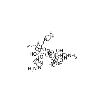 C=CCCC(=O)N(C)[C@@H](CCN1CCC(F)(F)CC1)C(=O)O[C@@H]1C(COP(=O)(O)O[C@@H]2C(COP(=O)(O)O)OC(n3ccc(N)nc3=O)[C@@H]2O)OC(n2cnc3c(N)ncnc32)[C@@H]1O